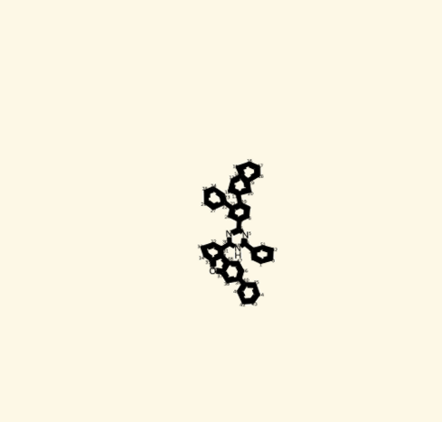 c1ccc(C2=NC(c3ccc(-c4ccc5ccccc5c4)c(-c4ccccc4)c3)=NC(c3cccc4oc5cc(-c6ccccc6)ccc5c34)N2)cc1